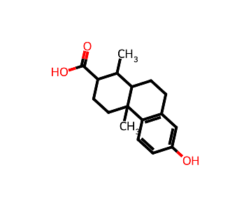 CC1C(C(=O)O)CCC2(C)c3ccc(O)cc3CCC12